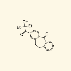 CCC(O)(CC)C(=O)c1ccc2c(c1)CCc1ccccc1C2=O